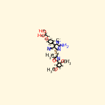 [C-]#[N+]c1c(N)nc(SCc2nc(-c3cc(OC)ccc3OC)oc2C)c(C#N)c1-c1ccc(OC[C@@H](O)CO)cc1